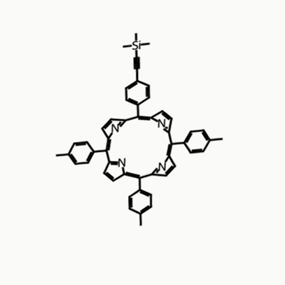 Cc1ccc(C2=C3C=CC(=N3)C(c3ccc(C)cc3)=C3C=CC(=N3)C(c3ccc(C#C[Si](C)(C)C)cc3)=C3C=CC(=N3)C(c3ccc(C)cc3)=C3C=CC2=N3)cc1